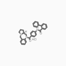 Cl.O=C(Nc1ccc(C(=O)N2C[C@H]3CCCN3Cc3ccccc32)cc1)c1ccccc1-c1ccccc1